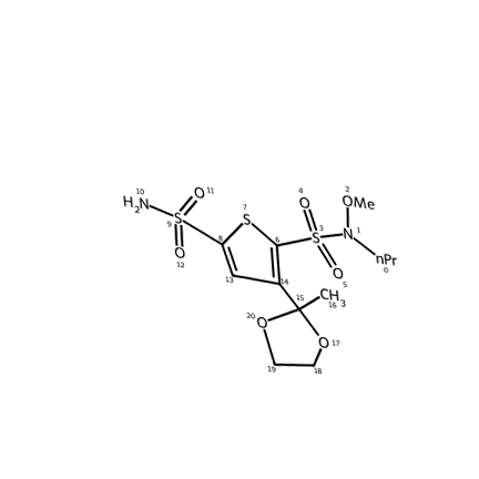 CCCN(OC)S(=O)(=O)c1sc(S(N)(=O)=O)cc1C1(C)OCCO1